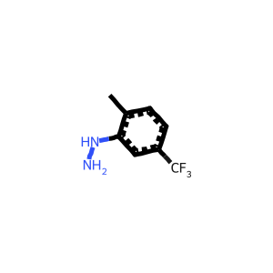 Cc1ccc(C(F)(F)F)cc1NN